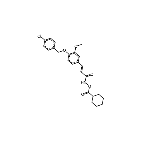 COc1cc(/C=C/C(=O)NOC(=O)C2CCCCC2)ccc1OCc1ccc(Cl)cc1